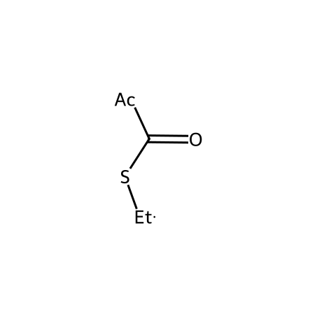 C[CH]SC(=O)C(C)=O